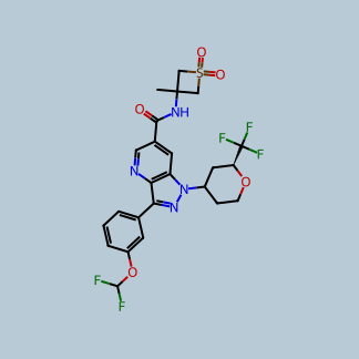 CC1(NC(=O)c2cnc3c(-c4cccc(OC(F)F)c4)nn(C4CCO[C@H](C(F)(F)F)C4)c3c2)CS(=O)(=O)C1